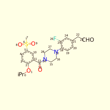 CC(C)Oc1ccc(S(C)(=O)=O)cc1C(=O)N1CCN(c2ccc(CC=O)cc2F)CC1